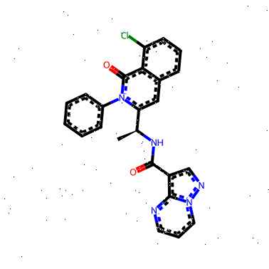 C[C@H](NC(=O)c1cnn2cccnc12)c1cc2cccc(Cl)c2c(=O)n1-c1ccccc1